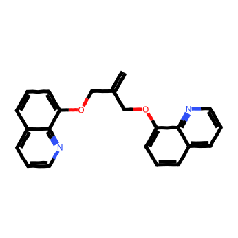 C=C(COc1cccc2cccnc12)COc1cccc2cccnc12